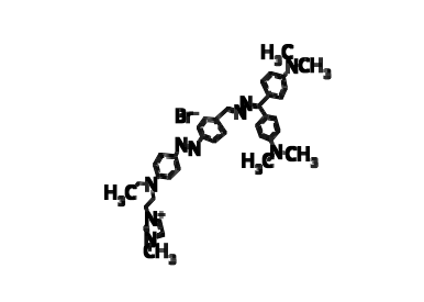 CCN(CC[n+]1ccn(C)c1)c1ccc(N=Nc2ccc(C=NN=C(c3ccc(N(C)C)cc3)c3ccc(N(C)C)cc3)cc2)cc1.[Br-]